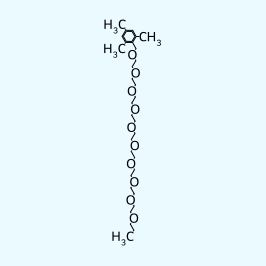 CCCOCCOCCOCCOCCOCCOCCOCCOCCOCCOCc1c(C)cc(C)cc1C